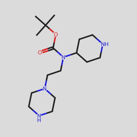 CC(C)(C)OC(=O)N(CCN1CCNCC1)C1CCNCC1